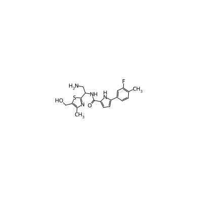 Cc1ccc(-c2ccc(C(=O)NC(CN)c3nc(C)c(CO)s3)[nH]2)cc1F